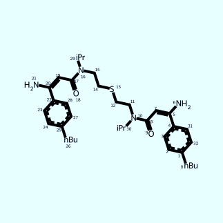 CCCCc1ccc(/C(N)=C\C(=O)N(CCSCCN(C(=O)/C=C(/N)c2ccc(CCCC)cc2)C(C)C)C(C)C)cc1